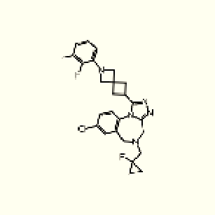 Cc1cccc(N2CC3(CC(c4nnc5n4-c4ccc(Cl)cc4CN(CC4(F)CC4)C5)C3)C2)c1F